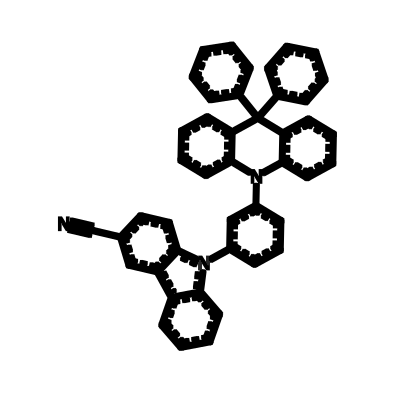 N#Cc1ccc2c(c1)c1ccccc1n2-c1cccc(N2c3ccccc3C(c3ccccc3)(c3ccccc3)c3ccccc32)c1